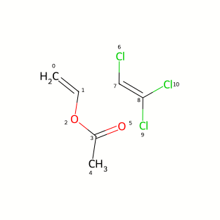 C=COC(C)=O.ClC=C(Cl)Cl